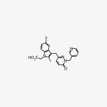 Cc1c(Cc2ccc(=O)n(Cc3cccnc3)n2)c2cc(F)ccc2n1CC(=O)O